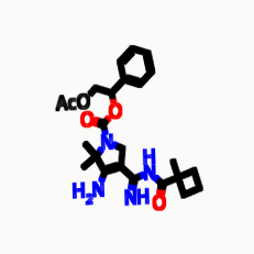 CC(=O)OCC(OC(=O)N1CC(C(=N)NC(=O)C2(C)CCC2)=C(N)C1(C)C)c1ccccc1